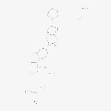 CSc1cc(-n2cc3cc(-c4cc(CCC[C@@H](N)C5CC5)cc(C(F)(F)F)c4)[nH]c3nc2=O)ccc1[C@@H]1CCC[C@@H](CCNC(=N)CN)N1CCCF